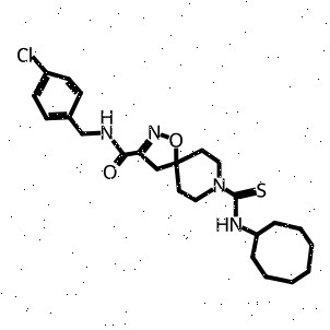 O=C(NCc1ccc(Cl)cc1)C1=NOC2(CCN(C(=S)NC3CCCCCCC3)CC2)C1